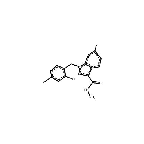 Cc1ccc2c(C(=O)NN)nn(Cc3ccc(F)cc3Cl)c2c1